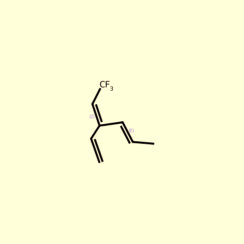 C=CC(=C/C(F)(F)F)/C=C/C